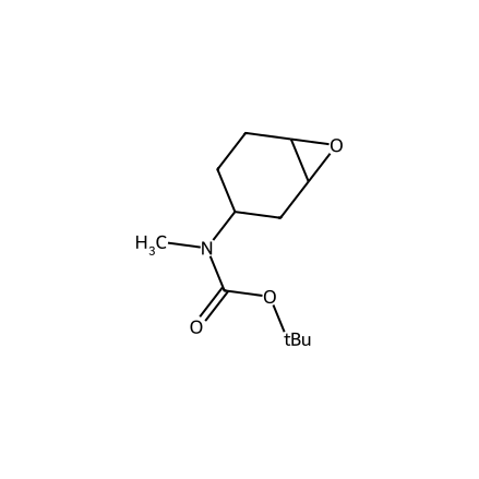 CN(C(=O)OC(C)(C)C)C1CCC2OC2C1